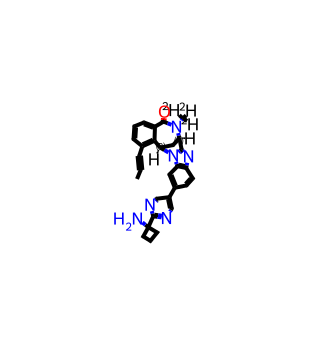 [2H]C([2H])([2H])N1C(=O)c2cccc(C#CC)c2[C@H]2C[C@@H]1c1nc3ccc(-c4cnc(C5(N)CCC5)nc4)cc3n12